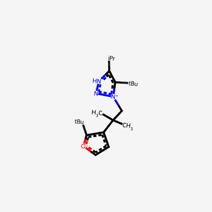 CC(C)c1[nH]n[n+](CC(C)(C)c2ccoc2C(C)(C)C)c1C(C)(C)C